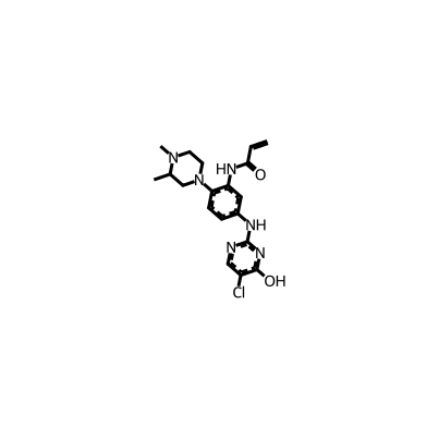 C=CC(=O)Nc1cc(Nc2ncc(Cl)c(O)n2)ccc1N1CCN(C)C(C)C1